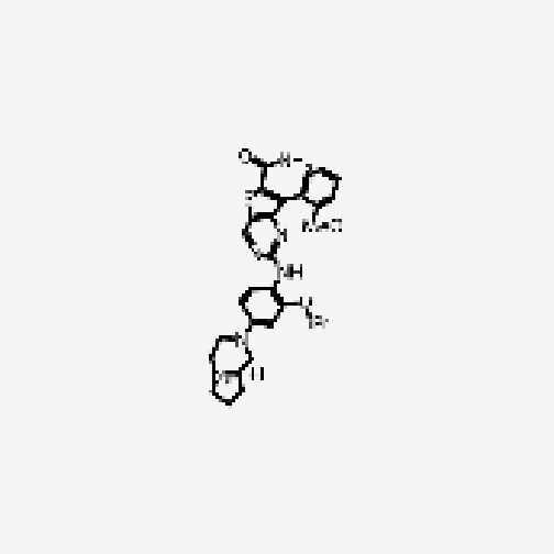 COc1ccccc1-c1c(C(N)=O)sc2cnc(Nc3ccc(N4CCN5CCC[C@@H]5C4)cc3OC(C)C)nc12